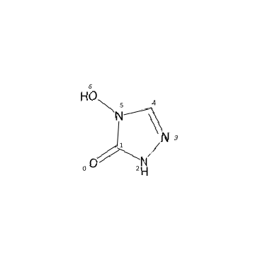 O=c1[nH]ncn1O